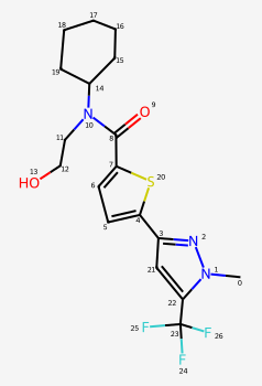 Cn1nc(-c2ccc(C(=O)N(CCO)C3CCCCC3)s2)cc1C(F)(F)F